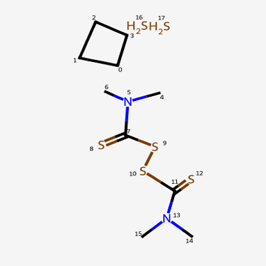 C1CCC1.CN(C)C(=S)SSC(=S)N(C)C.S.S